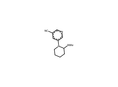 CNC1CCCCN1c1cncc(C#N)c1